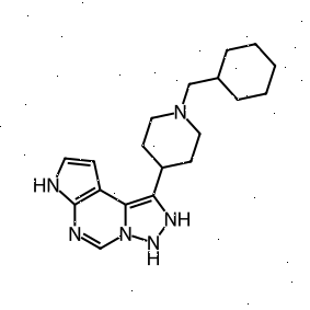 C1=Nc2[nH]ccc2C2=C(C3CCN(CC4CCCCC4)CC3)NNN12